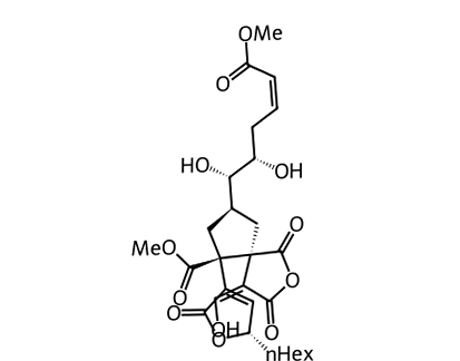 CCCCCC[C@H]1C=C([C@]2(C(=O)OC)C[C@@H]([C@H](O)[C@@H](O)C/C=C\C(=O)OC)C[C@@]23C(=O)OC(=O)/C3=C\O)C(=O)O1